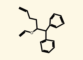 C=CCCC(OC=C)C(c1ccccc1)c1ccccc1